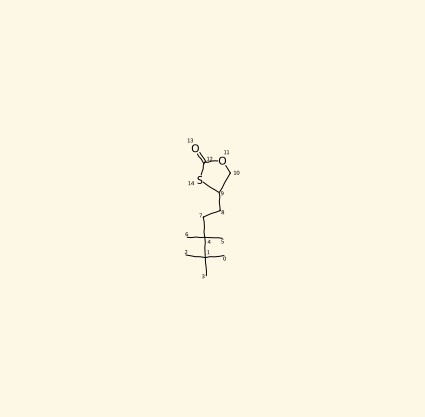 CC(C)(C)C(C)(C)CCC1COC(=O)S1